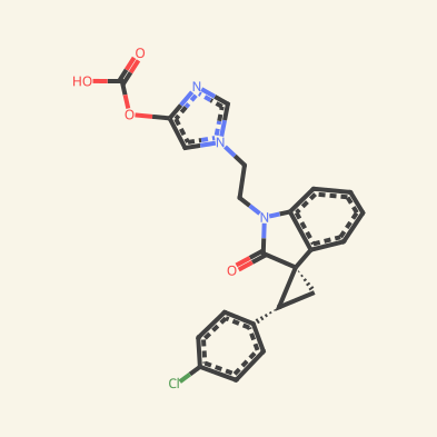 O=C(O)Oc1cn(CCN2C(=O)[C@@]3(C[C@@H]3c3ccc(Cl)cc3)c3ccccc32)cn1